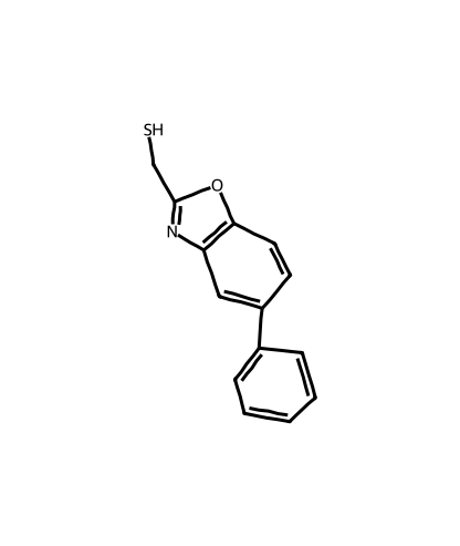 SCc1nc2cc(-c3ccccc3)ccc2o1